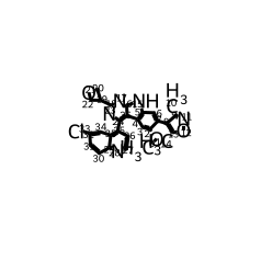 COc1cc2c(cc1-c1c(C)noc1C)[nH]c1nc(C3COC3)nc(-c3ccnc4ccc(Cl)cc34)c12